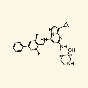 O[C@H]1CNCC[C@@H]1CNc1cc(NCc2c(F)cc(-c3ccccc3)cc2F)n2ncc(C3CC3)c2n1